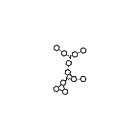 c1ccc(-c2ccc(N(c3ccc(-c4ccccc4)cc3)c3ccc(-c4ccc5c(c4)c4cc(-c6ccccc6)ccc4n5-c4ccc5c6ccccc6c6ccccc6c5c4)cc3)cc2)cc1